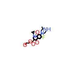 COc1c(N2CCNC(C)C2)c(F)cc2c(=O)c(C(=O)OCC=O)cn(C3CC3)c12